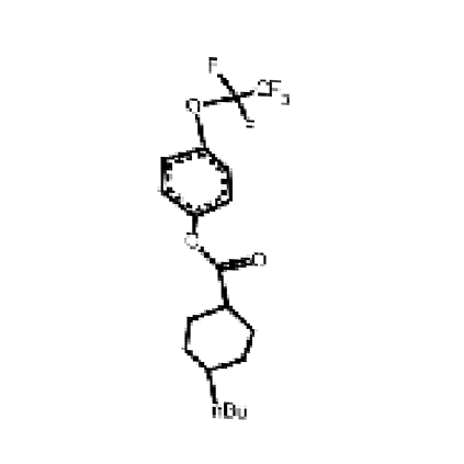 CCCCC1CCC(C(=O)Oc2ccc(OC(F)(F)C(F)(F)F)cc2)CC1